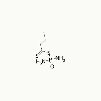 CCCC(=S)SP(N)(N)=O